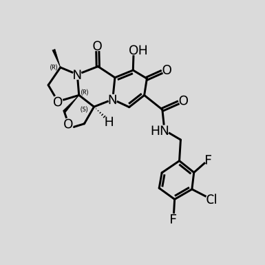 C[C@@H]1CO[C@@]23COCC[C@@H]2n2cc(C(=O)NCc4ccc(F)c(Cl)c4F)c(=O)c(O)c2C(=O)N13